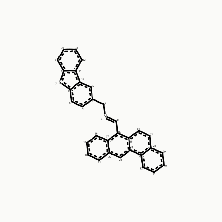 C(=N\Cc1ccc2sc3ccccc3c2c1)/c1c2ccccc2cc2c1ccc1ccccc12